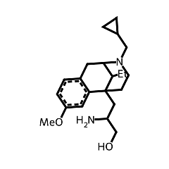 CCC1C2Cc3ccc(OC)cc3C1(CC(N)CO)CCN2CC1CC1